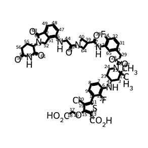 CC1(C)C[C@@H](Nc2cccc(-c3sc(C(=O)O)c(OCC(=O)O)c3Cl)c2F)CCN1S(=O)(=O)Cc1ccc(F)c(NC(=O)C2CN(C(=O)CNc3cccc4c3CN([C@@H]3CCC(=O)NC3=O)C4=O)C2)c1